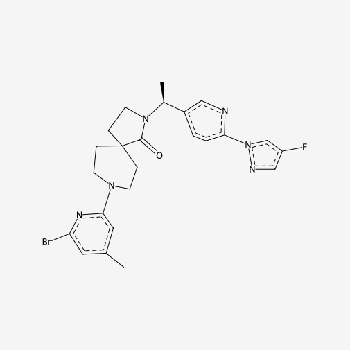 Cc1cc(Br)nc(N2CCC3(CC2)CCN([C@@H](C)c2ccc(-n4cc(F)cn4)nc2)C3=O)c1